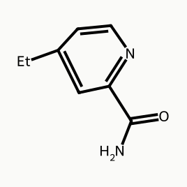 CCc1ccnc(C(N)=O)c1